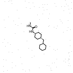 CNC(=O)N[C@H]1CC[C@@H](CC2CCCCC2)CC1